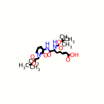 CC(C)(C)OC(=O)Cn1cccc(NC(=O)C(CC/C=C/C(=O)O)NC(=O)OC(C)(C)C)c1=O